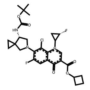 CC(C)(C)OC(=O)N[C@@H]1CN(c2c(F)cc3c(=O)c(C(=O)OC4CCC4)cn(C4C[C@@H]4F)c3c2Cl)CC12CC2